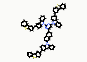 c1ccc2c(c1)sc1ccc(-c3ccc4c(c3)c3ccccc3n4-c3ccc4cc(-c5cc(-n6c7ccccc7c7cc(-c8ccc9sc%10ccccc%10c9c8)ccc76)nc(-n6c7ccccc7c7cc(-c8ccc9sc%10ccccc%10c9c8)ccc76)n5)ccc4c3)cc12